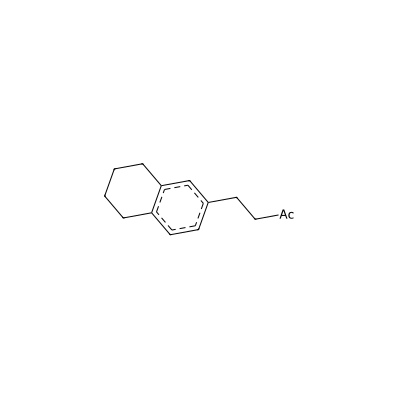 CC(=O)CCc1ccc2c(c1)CCCC2